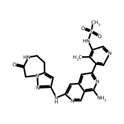 Cc1c(NS(C)(=O)=O)cncc1-c1cc2cc(Nc3cc4n(n3)CC(=O)NCC4)ncc2c(N)n1